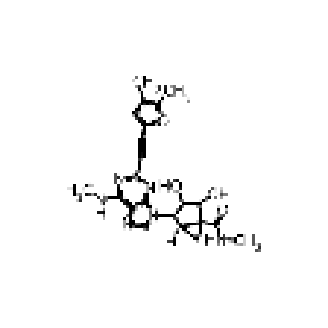 CNC(=O)C12C[C@@H]1C(n1cnc3c(NC)nc(C#Cc4cc(C)c(C)o4)nc31)C(O)C2O